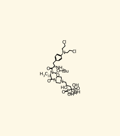 C[C@@H](C(=O)N1CCN(CCCC(O)(P(=O)(O)O)P(=O)(O)O)CC1)N(C(=O)OC(C)(C)C)C(=O)[C@@H](N)Cc1ccc(N(CCCl)CCCl)cc1